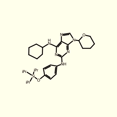 CC(C)[Si](Oc1ccc(Nc2nc(NC3CCCCC3)c3ncn(C4CCCCO4)c3n2)cc1)(C(C)C)C(C)C